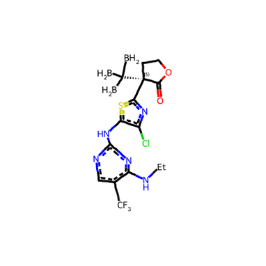 BC(B)(B)[C@]1(c2nc(Cl)c(Nc3ncc(C(F)(F)F)c(NCC)n3)s2)CCOC1=O